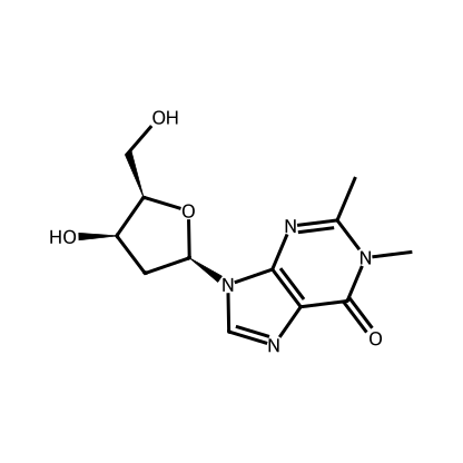 Cc1nc2c(ncn2[C@H]2C[C@@H](O)[C@@H](CO)O2)c(=O)n1C